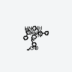 C=CCOc1cc(CN2CCC(Nc3ncc(-c4ccccc4)cn3)CC2)ccc1OC.c1ccc(-c2cnc(NC3CCNCC3)nc2)cc1